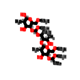 CO[C@@H](O[C@H]1C(COS(=O)(=O)O)O[C@@H](O[C@@H](C(O[C@@H](O[C@H]2C(COS(=O)(=O)O)O[C@@H](O)[C@@H](C)C2O)OS(=O)(=O)O)C(=O)O)[C@H](C)O)[C@@H](C)C1O)OS(=O)(=O)O